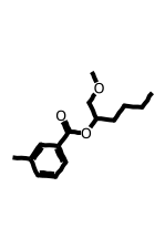 CCCCC(COC)OC(=O)c1cccc(C)c1